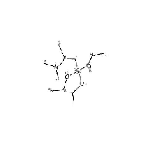 CCO[Si](CC(C)N(C)C)(OCC)OCC